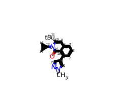 Cn1cc(-c2cccc3cc(C(C)(C)C)n(C4CC4)c(=O)c23)cn1